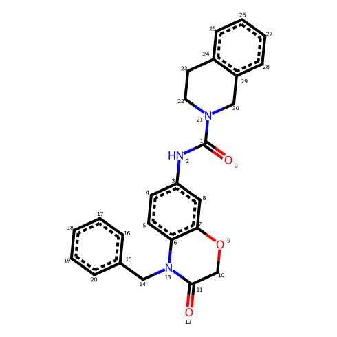 O=C(Nc1ccc2c(c1)OCC(=O)N2Cc1ccccc1)N1CCc2ccccc2C1